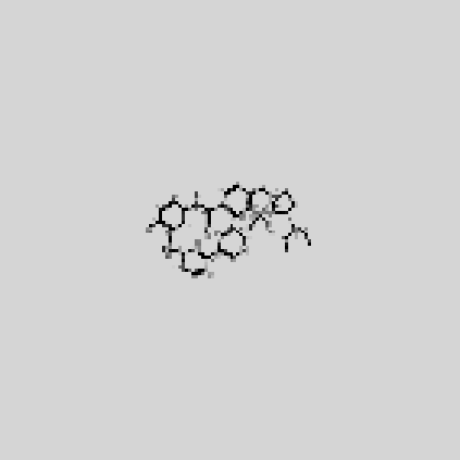 CCN(CC)[C@H]1CCN(Cc2ccc(C(=O)Nc3ccc(C)c(Nc4nccc(-c5cncnc5)n4)c3)cc2C(F)(F)F)C1